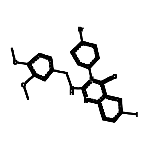 COc1ccc(CNc2nc3ccc(I)cc3c(=O)n2-c2ccc(Br)cc2)cc1OC